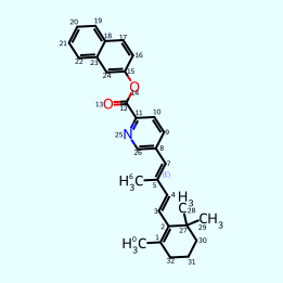 CC1=C(C=C/C(C)=C/c2ccc(C(=O)Oc3ccc4ccccc4c3)nc2)C(C)(C)CCC1